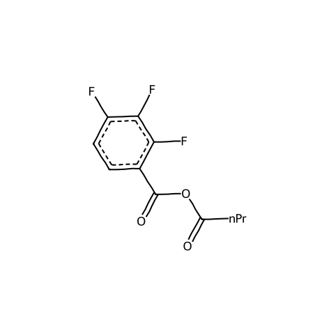 CCCC(=O)OC(=O)c1ccc(F)c(F)c1F